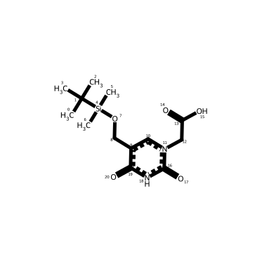 CC(C)(C)[Si](C)(C)OCc1cn(CC(=O)O)c(=O)[nH]c1=O